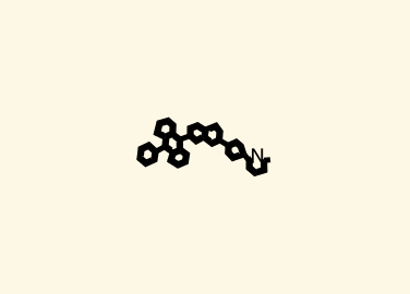 Cc1cccc(-c2ccc(-c3ccc4ccc(-c5c6ccccc6c(-c6ccccc6)c6ccccc56)cc4c3)cc2)n1